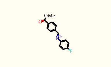 COC(=O)c1ccc(/C=N/c2ccc(F)cc2)cc1